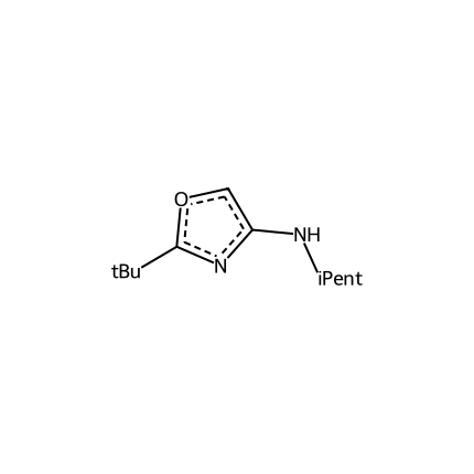 CCCC(C)Nc1coc(C(C)(C)C)n1